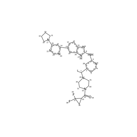 CC(c1ccnc(Nc2nc3ccc(-c4cc(N5CCCC5)ncn4)cc3[nH]2)c1)N1CCN(C(=O)C2CC2(F)F)CC1